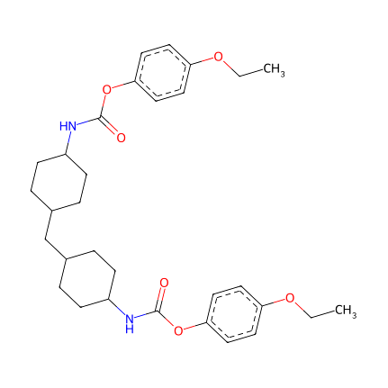 CCOc1ccc(OC(=O)NC2CCC(CC3CCC(NC(=O)Oc4ccc(OCC)cc4)CC3)CC2)cc1